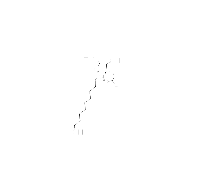 CCCCCCCCCC[Si](OCC)(OCC)OC(C)F